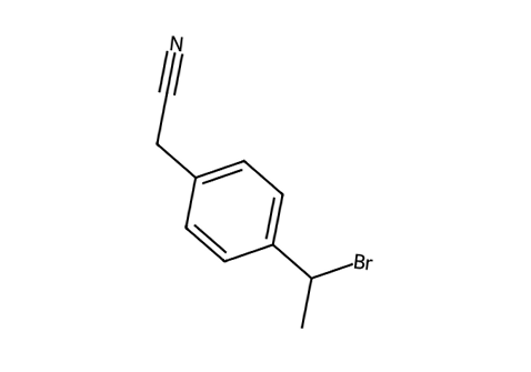 CC(Br)c1ccc(CC#N)cc1